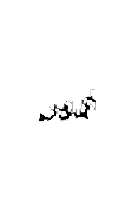 Fc1cnc(C2CC2CNc2ccn3c(CC4CC4)nnc3c2C(F)(F)F)nc1